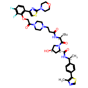 Cc1ncsc1-c1ccc([C@H](C)NC(=O)[C@@H]2C[C@@H](O)CN2C(=O)[C@@H](NC(=O)CCN2CCN(C(=O)COc3c(-c4csc(N5CCOCC5)n4)ccc(F)c3F)CC2)C(C)(C)C)cc1